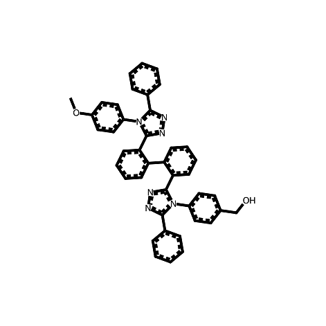 COc1ccc(-n2c(-c3ccccc3)nnc2-c2ccccc2-c2ccccc2-c2nnc(-c3ccccc3)n2-c2ccc(CO)cc2)cc1